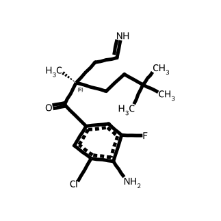 CC(C)(C)CC[C@](C)(CC=N)C(=O)c1cc(F)c(N)c(Cl)c1